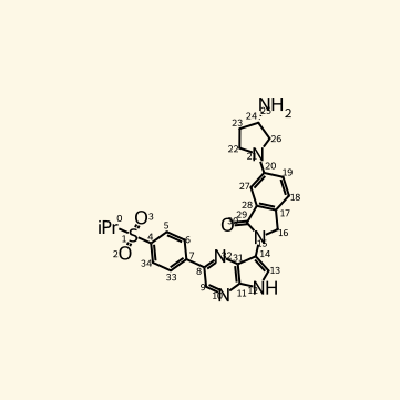 CC(C)S(=O)(=O)c1ccc(-c2cnc3[nH]cc(N4Cc5ccc(N6CC[C@H](N)C6)cc5C4=O)c3n2)cc1